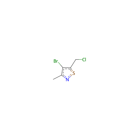 Cc1nsc(CCl)c1Br